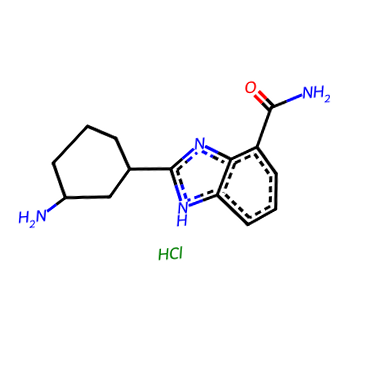 Cl.NC(=O)c1cccc2[nH]c(C3CCCC(N)C3)nc12